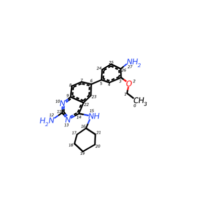 CCOc1cc(-c2ccc3nc(N)nc(NC4CCCCC4)c3c2)ccc1N